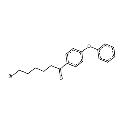 O=C(CCCCCBr)c1ccc(Oc2ccccc2)cc1